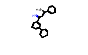 CN/C(=C\C(=N)c1cccc(C2=CCCC=C2)c1)c1ccccc1